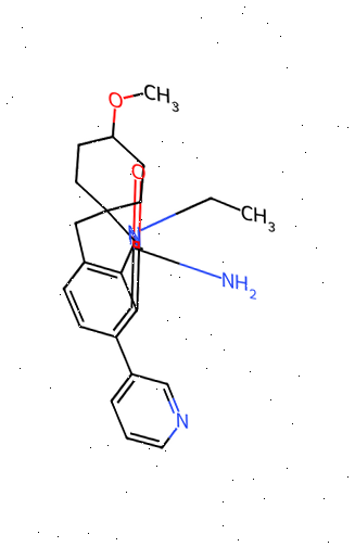 CCN1C(=O)C2(N=C1N)c1cc(-c3cccnc3)ccc1CC21CCC(OC)CC1